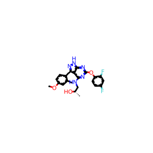 COc1ccc(-c2n[nH]c3nc(Oc4ccc(F)cc4F)nc(NC[C@H](C)O)c23)c(C)c1